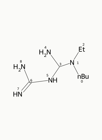 CCCCN(CC)C(N)NC(=N)N